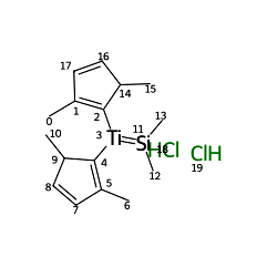 CC1=[C]([Ti]([C]2=C(C)C=CC2C)=[Si](C)C)C(C)C=C1.Cl.Cl